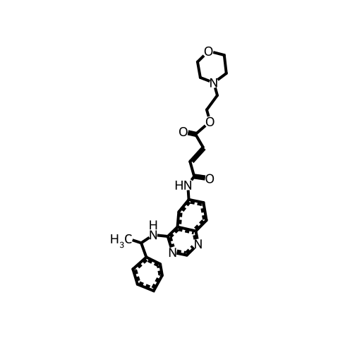 CC(Nc1ncnc2ccc(NC(=O)C=CC(=O)OCCN3CCOCC3)cc12)c1ccccc1